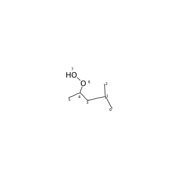 C[C](C)CC(C)OO